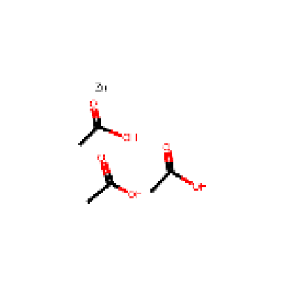 CC(=O)O.CC(=O)O.CC(=O)O.[Zn]